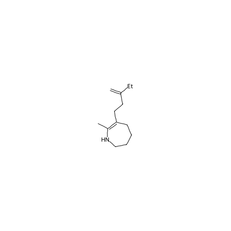 C=C(CC)CCC1=C(C)NCCCC1